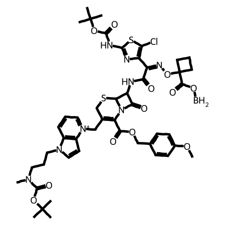 BOC(=O)C1(O/N=C(\C(=O)NC2C(=O)N3C(C(=O)OCc4ccc(OC)cc4)=C(C[n+]4cccc5c4ccn5CCCN(C)C(=O)OC(C)(C)C)CSC23)c2nc(NC(=O)OC(C)(C)C)sc2Cl)CCC1